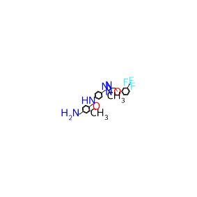 Cc1cc(CN)ccc1C(=O)Nc1ccc(-c2nnc(COc3cccc(C(F)(F)F)c3)n2C)cc1